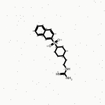 N=C(N)NCCC1CCC(S(=O)(=O)c2ccc3ccccc3c2)CC1